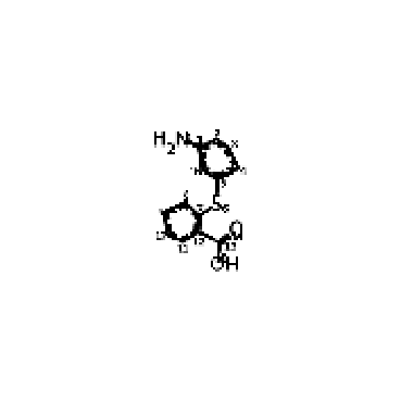 Nc1cccc(Sc2ccccc2C(=O)O)c1